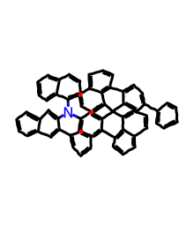 c1ccc(-c2ccc3c(c2)C2(c4cc(N(c5cc6ccccc6cc5-c5ccccc5)c5cccc6ccccc56)ccc4-c4cccc5cccc2c45)c2cccc4cccc-3c24)cc1